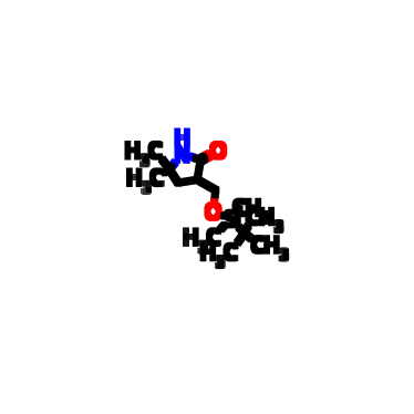 CC1(C)CC(CO[Si](C)(C)C(C)(C)C)C(=O)N1